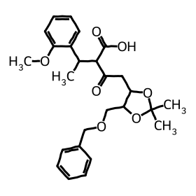 COc1ccccc1C(C)C(C(=O)O)C(=O)CC1OC(C)(C)OC1COCc1ccccc1